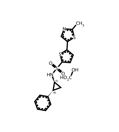 Cc1ncc(-c2ccc(S(=O)(=O)N[C@H]3C[C@@H]3c3ccccc3)s2)s1.O=C(O)O